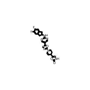 O=c1[nH]nc(C2CCN(c3nnc(-c4cnc(NC5Cc6cc(F)c(F)cc6C5)nc4)o3)CC2)o1